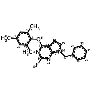 Cc1cc(C)c(Oc2nc(F)nc3c2ccn3Cc2ccccc2)c(C)c1